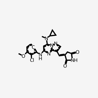 COc1cccc(Nc2cc(N(C)C3CC3)n3ncc(/C=C4\CC(=O)NC4=O)c3n2)c1Cl